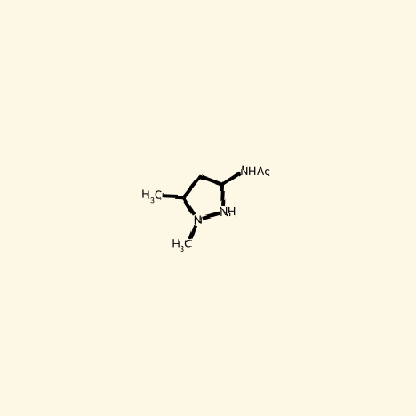 CC(=O)NC1CC(C)N(C)N1